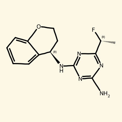 C[C@@H](F)c1nc(N)nc(N[C@@H]2CCOc3ccccc32)n1